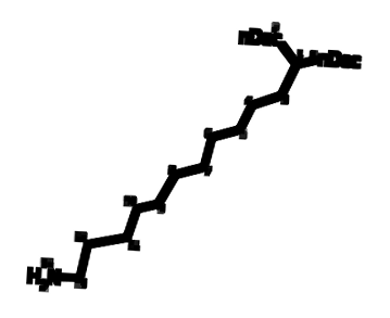 CCCCCCCCCCC(CCCCCCCCCC)CCCCCCCCCCCN